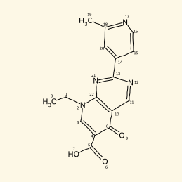 CCn1cc(C(=O)O)c(=O)c2cnc(-c3ccnc(C)c3)nc21